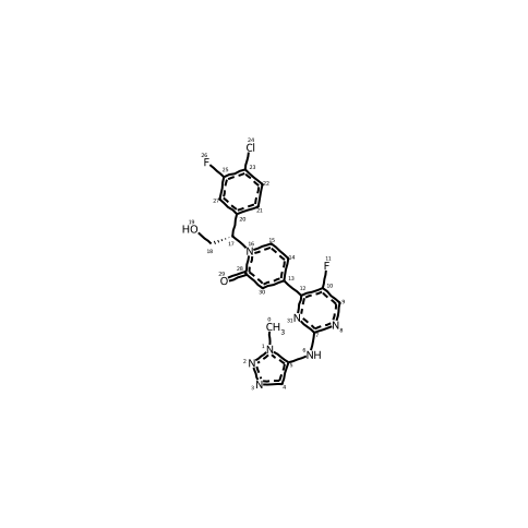 Cn1nncc1Nc1ncc(F)c(-c2ccn([C@H](CO)c3ccc(Cl)c(F)c3)c(=O)c2)n1